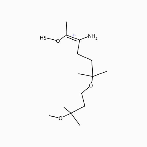 COC(C)(C)CCOC(C)(C)CC/C(N)=C(/C)OS